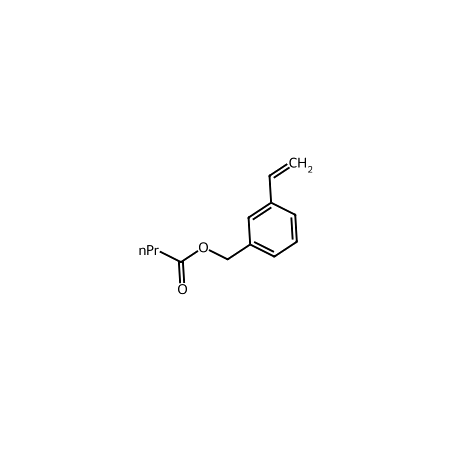 C=Cc1cccc(COC(=O)CCC)c1